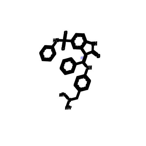 CCCN(CCC)Cc1ccc(N/C(=C2\C(=O)Nc3ccc(S(=O)(=O)Nc4ccccc4)cc32)c2ccccc2)cc1